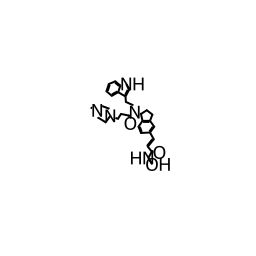 CN1CCN(CCC(=O)N(CCc2c[nH]c3ccccc23)C2CCc3cc(/C=C/C(=O)NO)ccc32)CC1